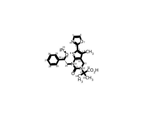 Cc1c(-c2ncco2)sc2c1CN(C(C)(C)C(=O)O)C(=O)N2C[C@@H](OC(C)C)c1ccccc1